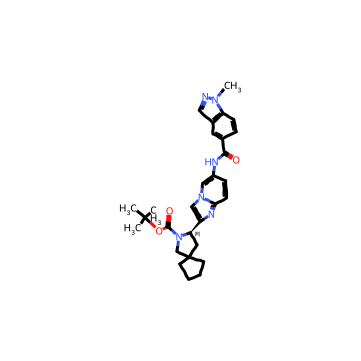 Cn1ncc2cc(C(=O)Nc3ccc4nc([C@H]5CC6(CCCC6)CN5C(=O)OC(C)(C)C)cn4c3)ccc21